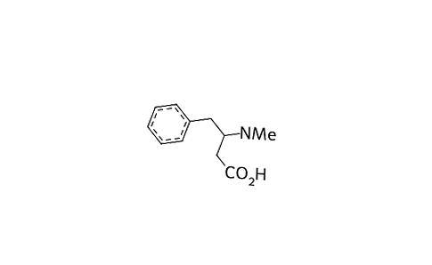 CNC(CC(=O)O)Cc1ccccc1